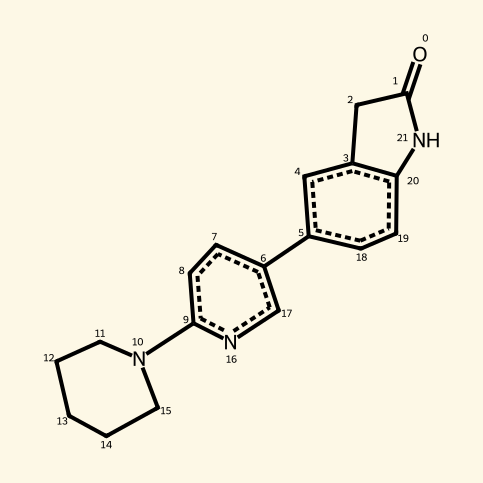 O=C1Cc2cc(-c3ccc(N4CCCCC4)nc3)ccc2N1